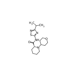 CC(C)c1nsc(NC(=O)[C@@H]2CCCCN2C2CCOCC2)n1